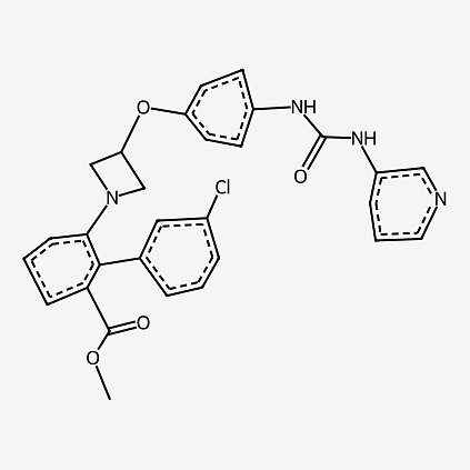 COC(=O)c1cccc(N2CC(Oc3ccc(NC(=O)Nc4cccnc4)cc3)C2)c1-c1cccc(Cl)c1